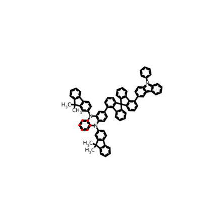 CC1(C)c2ccccc2-c2ccc(N(c3ccccc3)c3ccc(-c4cccc5c4-c4ccccc4C54c5ccccc5-c5c(-c6ccc7c(c6)c6ccccc6n7-c6ccccc6)cccc54)cc3N(c3ccccc3)c3ccc4c(c3)C(C)(C)c3ccccc3-4)cc21